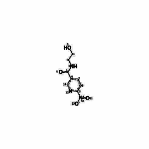 O=C(NCCO)c1ccc([N+](=O)[O-])nc1